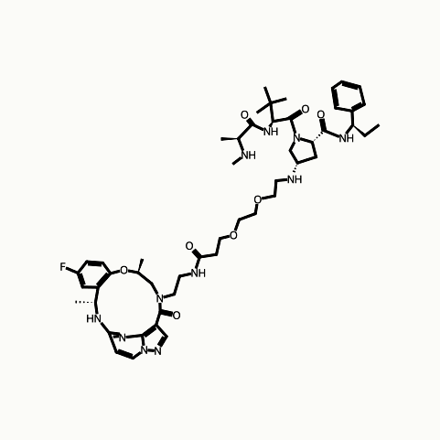 CC[C@@H](NC(=O)[C@@H]1C[C@H](NCCOCCOCCC(=O)NCCN2C[C@H](C)Oc3ccc(F)cc3[C@@H](C)Nc3ccn4ncc(c4n3)C2=O)CN1C(=O)[C@@H](NC(=O)[C@H](C)NC)C(C)(C)C)c1ccccc1